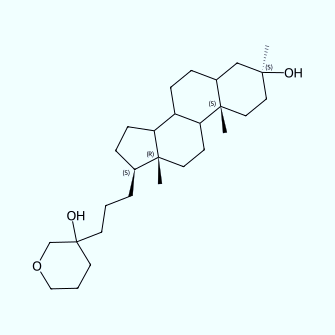 C[C@]1(O)CC[C@@]2(C)C(CCC3C2CC[C@@]2(C)C3CC[C@@H]2CCCC2(O)CCCOC2)C1